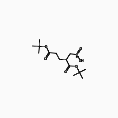 CC(C)(C)OC(=O)CCC(C[PH](=O)O)C(=O)OC(C)(C)C